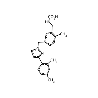 Cc1ccc(-c2ccn(Cc3ccc(C)c(CNC(=O)O)c3)n2)c(C)c1